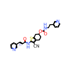 N#Cc1c(NC(=O)/C=C/c2cccnc2)sc2c1CCC(OC(=O)NCCc1cccnc1)C2